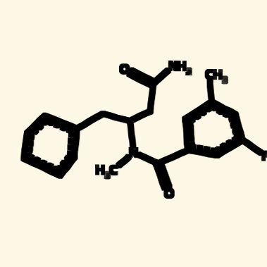 Cc1cc(F)cc(C(=O)N(C)C(CC(N)=O)Cc2ccccc2)c1